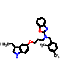 O=C(O)CC1CNc2ccc(OCCCN(Cc3ccc(C(F)(F)F)cc3C(F)(F)F)c3nc4ccccc4o3)cc21